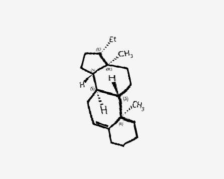 CC[C@H]1CC[C@H]2[C@@H]3CC=C4CCCC[C@]4(C)[C@H]3CC[C@]12C